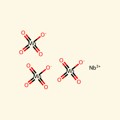 [Nb+3].[O]=[Mn](=[O])(=[O])[O-].[O]=[Mn](=[O])(=[O])[O-].[O]=[Mn](=[O])(=[O])[O-]